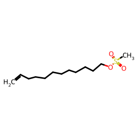 C=CCCCCCCCCCCOS(C)(=O)=O